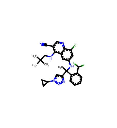 BC(Nc1cc(Cl)c2ncc(C#N)c(NCC(C)(C)C)c2c1)(c1cn(C2CC2)nn1)c1ccccc1C(F)F